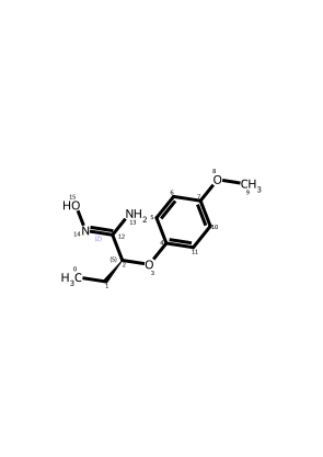 CC[C@H](Oc1ccc(OC)cc1)/C(N)=N/O